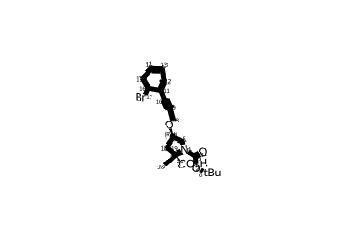 CC(C)(C)OC(=O)N1C[C@H](OCC#Cc2ccccc2Br)C[C@@]1(C)C(=O)O